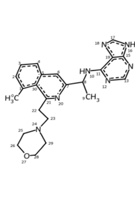 Cc1cccc2cc(C(C)Nc3ncnc4[nH]cnc34)nc(CCN3CCOCC3)c12